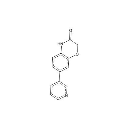 O=C1COc2cc(-c3cccnc3)ccc2N1